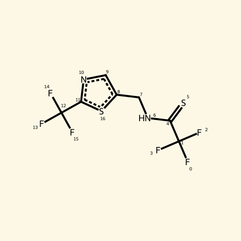 FC(F)(F)C(=S)NCc1cnc(C(F)(F)F)s1